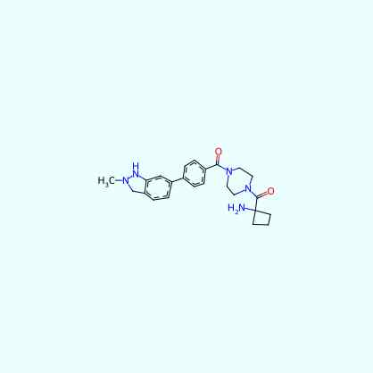 CN1Cc2ccc(-c3ccc(C(=O)N4CCN(C(=O)C5(N)CCC5)CC4)cc3)cc2N1